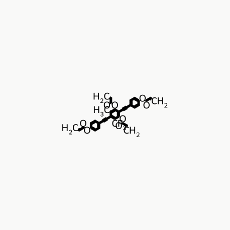 C=CC(=O)Oc1ccc(C#Cc2c(OC(=O)C=C)c(C)c(C#Cc3ccc(OC(=O)C=C)cc3)c(C(F)(F)F)c2OC(=O)C=C)cc1